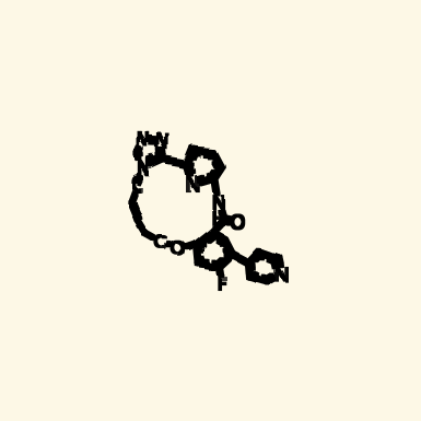 O=C1Nc2cccc(n2)-c2nncn2C/C=C\CCOc2cc(F)c(-c3ccncc3)cc21